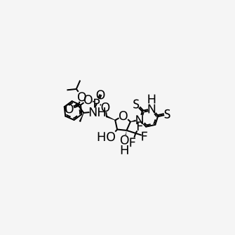 CC(C)OC(=O)[C@H](C)NP(=O)(OC[C@H]1O[C@@H](n2ccc(=S)[nH]c2=S)[C@@](O)(C(F)(F)F)C1O)Oc1ccccc1